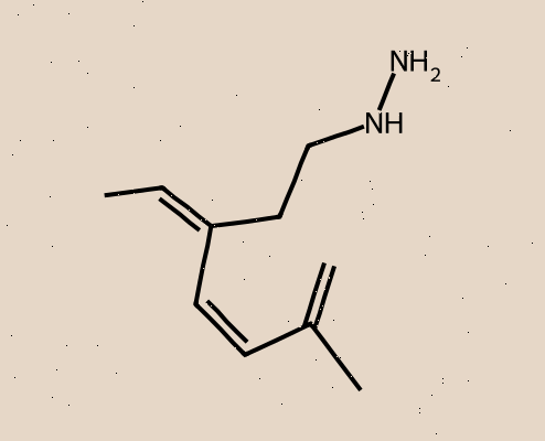 C=C(C)/C=C\C(=C/C)CCNN